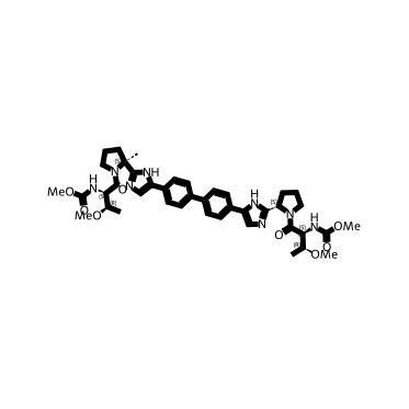 COC(=O)N[C@H](C(=O)N1CCC[C@H]1c1ncc(-c2ccc(-c3ccc(-c4cnc([C@]5(C)CCCN5C(=O)[C@@H](NC(=O)OC)[C@@H](C)OC)[nH]4)cc3)cc2)[nH]1)[C@@H](C)OC